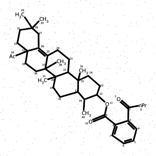 CCCC(=O)c1ccccc1C(=O)OC1CCC2(C)C(CCC3(C)C2CCC2=C4CC(C)(C)CCC4(C(C)=O)CCC23C)C1C